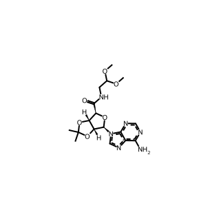 COC(CNC(=O)[C@H]1O[C@@H](n2cnc3c(N)ncnc32)[C@@H]2OC(C)(C)O[C@@H]21)OC